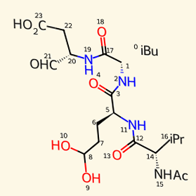 CC[C@H](C)[C@H](NC(=O)[C@H](CCC(O)O)NC(=O)[C@@H](NC(C)=O)C(C)C)C(=O)N[C@H](C=O)CC(=O)O